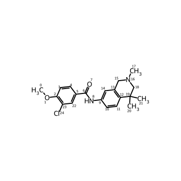 COc1ccc(C(=O)Nc2ccc3c(c2)CN(C)CC3(C)C)cc1Cl